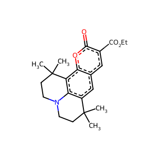 CCOC(=O)c1cc2cc3c4c(c2oc1=O)C(C)(C)CCN4CCC3(C)C